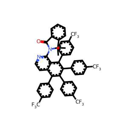 CC1(C)c2ccccc2C(=O)N1c1nccc2c(-c3ccc(C(F)(F)F)cc3)c(-c3ccc(C(F)(F)F)cc3)c(-c3ccc(C(F)(F)F)cc3)c(-c3ccc(C(F)(F)F)cc3)c12